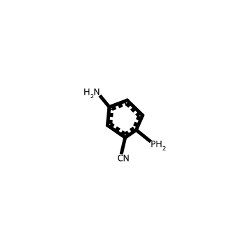 N#Cc1cc(N)ccc1P